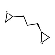 C(C[C@H]1CO1)C[C@H]1CO1